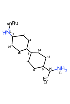 CCCCNC1CCC(C2CCC(C(N)CC)CC2)CC1